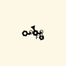 O=C(c1cc(C2CC2)c(OCC2CCCCC2)cc1F)N1CCCC1